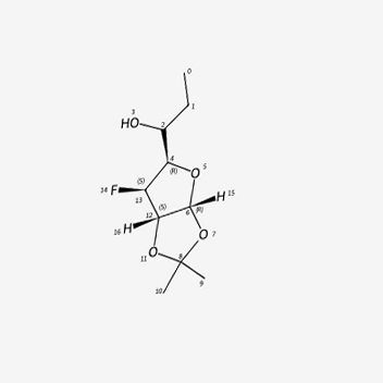 CCC(O)[C@H]1O[C@@H]2OC(C)(C)O[C@@H]2[C@H]1F